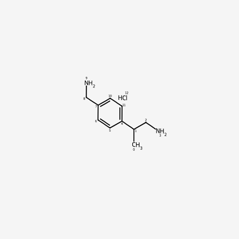 CC(CN)c1ccc(CN)cc1.Cl